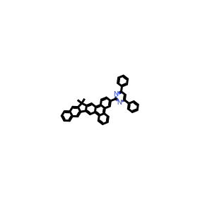 CC1(C)c2cc3ccccc3cc2-c2cc3c4ccccc4c4cc(-c5nc(-c6ccccc6)cc(-c6ccccc6)n5)ccc4c3cc21